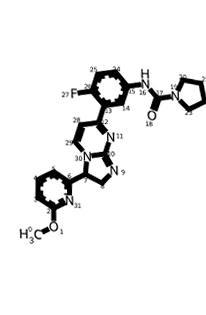 COc1cccc(C2CN=C3N=C(c4cc(NC(=O)N5CCCC5)ccc4F)C=CN32)n1